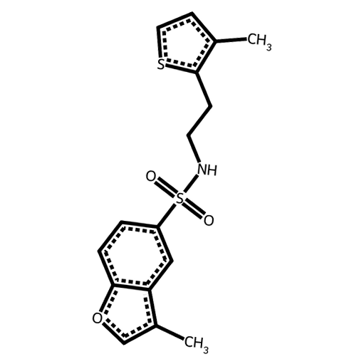 Cc1ccsc1CCNS(=O)(=O)c1ccc2occ(C)c2c1